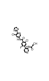 C#CC(=O)Nc1cnccc1-c1cc(Cl)c(C(=O)Nc2cnc(-n3nccn3)c(Cl)c2)cc1F